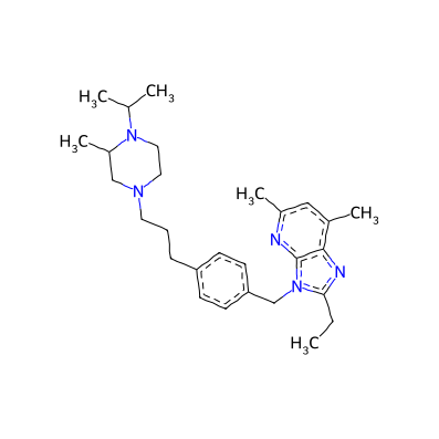 CCc1nc2c(C)cc(C)nc2n1Cc1ccc(CCCN2CCN(C(C)C)C(C)C2)cc1